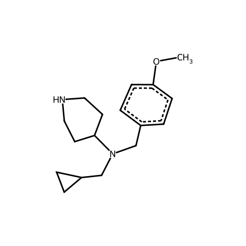 COc1ccc(CN(CC2CC2)C2CCNCC2)cc1